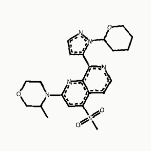 CC1COCCN1c1cc(S(C)(=O)=O)c2ccnc(-c3ccnn3C3CCCCO3)c2n1